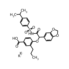 CCCc1cc(C(=O)O)ccc1OC(C(=O)NS(=O)(=O)c1ccc(C(C)C)cc1)c1ccc2c(c1)OCO2.[K].[K]